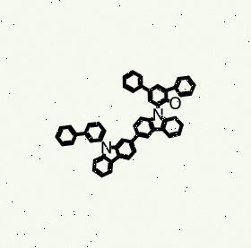 C1=Cc2c(n(-c3cc(-c4ccccc4)cc4c3oc3ccccc34)c3ccc(-c4ccc5c6ccccc6n(-c6cccc(-c7ccccc7)c6)c5c4)cc23)CC1